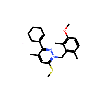 COc1ccc(C)c(C[n+]2nc(C3=CCCCC3)c(C)cc2SC)c1C.[I-]